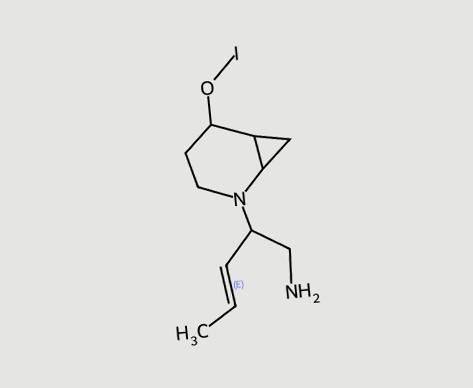 C/C=C/C(CN)N1CCC(OI)C2CC21